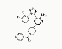 Nc1ncc(C2=CCN(C(=O)c3ccncc3)CC2)cc1-c1nnnn1-c1cccc(F)c1F